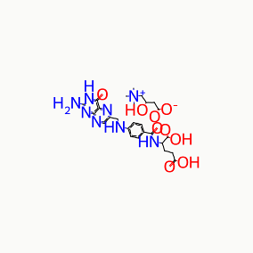 C[N+](C)(C)CC(O)CC(=O)[O-].Nc1nc2ncc(CNc3ccc(C(=O)NC(CCC(=O)O)C(=O)O)cc3)nc2c(=O)[nH]1